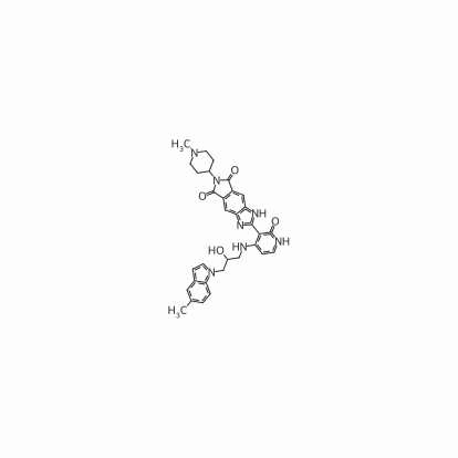 Cc1ccc2c(ccn2CC(O)CNc2cc[nH]c(=O)c2-c2nc3cc4c(cc3[nH]2)C(=O)N(C2CCN(C)CC2)C4=O)c1